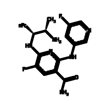 CCC[C@@H](Nc1nc(Nc2cncc(F)c2)c(C(N)=O)cc1F)[C@H](C)N